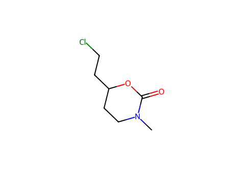 CN1CCC(CCCl)OC1=O